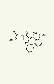 COc1cccc2c1C(O)=C(C(=O)NCC(=O)OC(C)(C)C)C(=O)C21CCOCC1